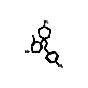 Br.Cc1ccc(CSC2(c3ccccc3F)CCN(C)CC2)cc1